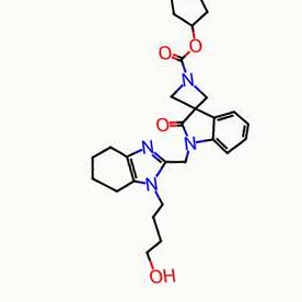 O=C(OC1CCCC1)N1CC2(C1)C(=O)N(Cc1nc3c(n1CCCCO)CCCC3)c1ccccc12